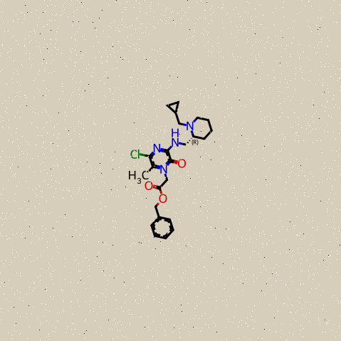 Cc1c(Cl)nc(NC[C@H]2CCCCN2CC2CC2)c(=O)n1CC(=O)OCc1ccccc1